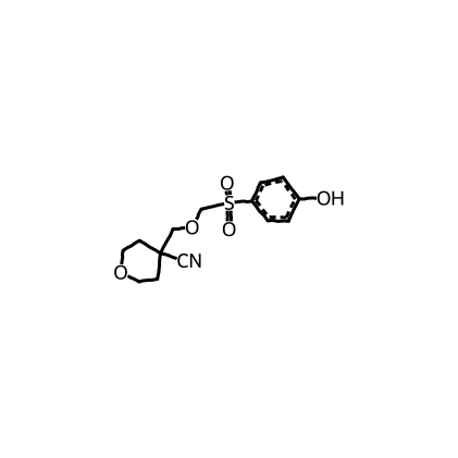 N#CC1(COCS(=O)(=O)c2ccc(O)cc2)CCOCC1